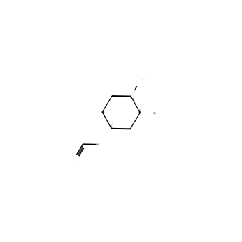 O=CO[C@@H]1CC[C@@H](Br)[C@H](O)C1